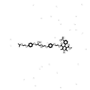 COC(=O)C1=C(C)NC(C)=C(C(=O)OCCOc2ccc(OCCNCC(O)COc3ccc(OCCOC(C)C)cc3)cc2)C1c1cccc([N+](=O)[O-])c1